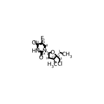 CC[C@@]1(CCl)O[C@@H](n2cc(F)c(=O)[nH]c2=O)C[C@@H]1C